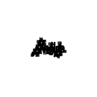 COc1ccnc(C(=O)N[C@@H](C)C(=O)O[C@@H](C)[C@@H](c2ccccc2)c2ccc(F)cc2C)c1OC(C)=O